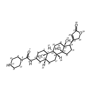 C[C@]12CCC(NC(=O)N3CCNCC3)C[C@H]1CC[C@@H]1[C@@H]2CC[C@]2(C)[C@@H](C3=CC(=O)OC3)CC[C@]12O